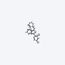 Clc1ccc(-c2ccc(/C=C3/CCCN=C3c3ccccn3)o2)c(Cl)c1